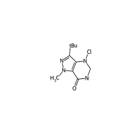 Cn1nc(C(C)(C)C)c2c1C(=O)[N]CN2Cl